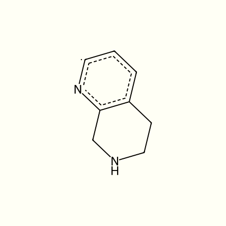 [c]1ccc2c(n1)CNCC2